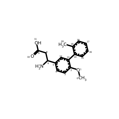 COc1ccc(C(N)CC(=O)O)cc1-c1ccccc1C